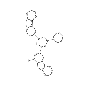 Clc1cc(-c2nc(-c3ccccc3)nc(-c3ccc4oc5ccccc5c4c3)n2)cc2c1oc1ccccc12